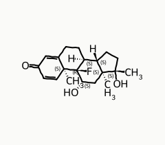 C[C@]1(O)CC[C@H]2[C@@H]3CCC4=CC(=O)C=C[C@]4(C)[C@@]3(F)[C@@H](O)C[C@@]21C